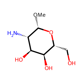 CO[C@@H]1O[C@H](CO)[C@@H](O)[C@@H](O)[C@@H]1N